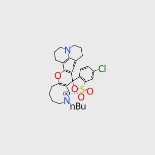 CCCCN1CCCCC2=C([C@@H]1C)C1(OS(=O)(=O)c3cc(Cl)ccc31)c1cc3c4c(c1O2)CCCN4CCC3